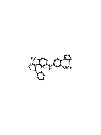 COc1cc(Nc2ncc(C(F)(F)F)c(N3OCCC3c3ccccc3)n2)ccc1-c1ccnn1C